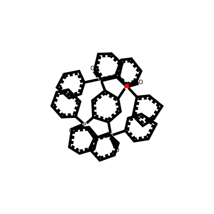 O=P(c1ccccc1)(c1ccccc1)c1cc(P(=O)(c2ccccc2)c2ccccc2)c(P(=O)(c2ccccc2)c2ccccc2)cc1P(=O)(c1ccccc1)c1ccccc1